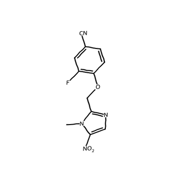 Cn1c([N+](=O)[O-])cnc1COc1ccc(C#N)cc1F